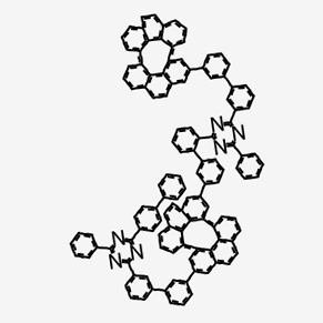 c1ccc(-c2ccc(-c3nc(-c4ccccc4)nc(-c4cccc(-c5cccc(-c6cc7ccc8cccc9c%10cc(-c%11cccc(-c%12ccccc%12-c%12nc(-c%13ccccc%13)nc(-c%13cccc(-c%14cccc(-c%15cc%16ccc%17cccc%18c%19cccc%20ccc%21cccc(c(c%15)c%16c%17%18)c%21c%20%19)c%14)c%13)n%12)c%11)cc%11ccc%12cccc(c(c6)c7c89)c%12c%11%10)c5)c4)n3)cc2)cc1